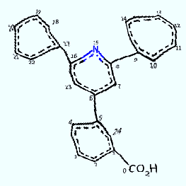 O=C(O)c1cccc(-c2cc(-c3ccccc3)nc(-c3ccccc3)c2)c1